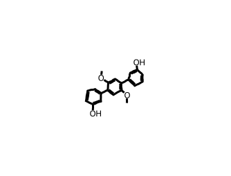 COc1cc(-c2cccc(O)c2)c(OC)cc1-c1cccc(O)c1